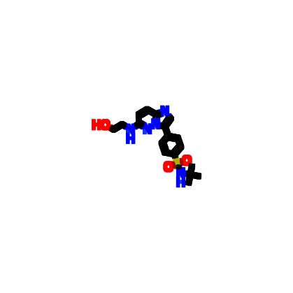 CC(C)(C)NS(=O)(=O)c1ccc(-c2cnc3ccc(NCCO)nn23)cc1